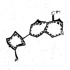 N#Cc1cncc2cc(-c3cccc(F)c3)ccc12